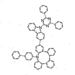 c1ccc(-c2ccc(-n3c4ccccc4c4ccccc4c4ccccc4c4cc(-c5ccc6c(c5)c5ccccc5n6-c5nc(-c6ccccc6)nc(-c6ccccc6)n5)ccc43)cc2)cc1